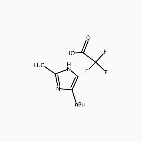 CCCCc1c[nH]c(C)n1.O=C(O)C(F)(F)F